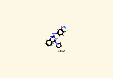 CC(=O)N[C@H]1CCN(c2nc(Nc3ccc(F)c(N)c3)nc3ccccc23)C1